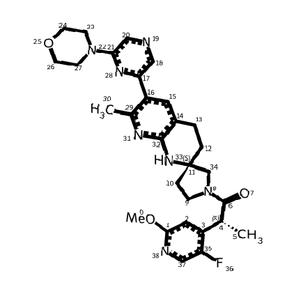 COc1cc([C@@H](C)C(=O)N2CC[C@@]3(CCc4cc(-c5cncc(N6CCOCC6)n5)c(C)nc4N3)C2)c(F)cn1